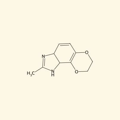 CC1=NC2C=CC3=C(OCCO3)C2N1